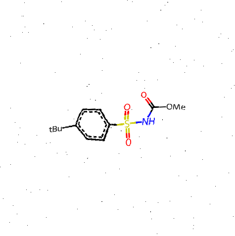 COC(=O)NS(=O)(=O)c1ccc(C(C)(C)C)cc1